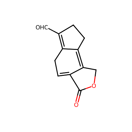 O=CC1=C2CC=C3C(=O)OCC3=C2CC1